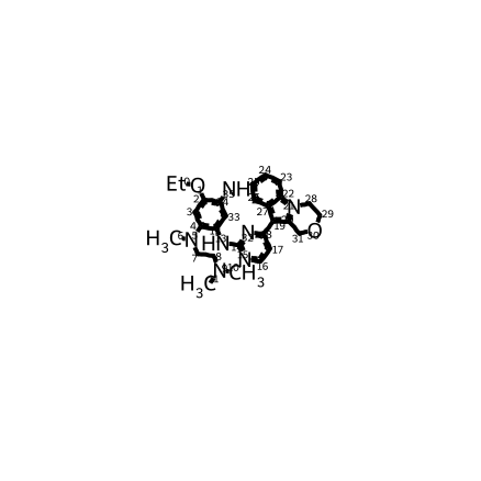 CCOc1cc(N(C)CCN(C)C)c(Nc2nccc(-c3c4n(c5ccccc35)CCOC4)n2)cc1N